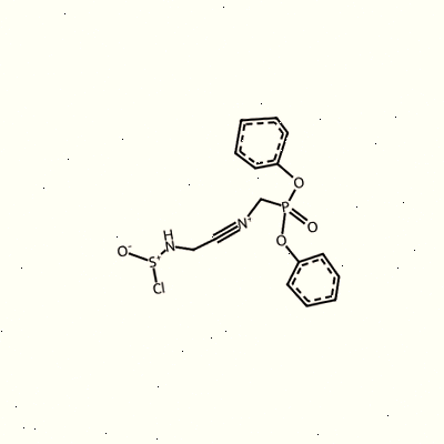 O=P(C[N+]#CCN[S+]([O-])Cl)(Oc1ccccc1)Oc1ccccc1